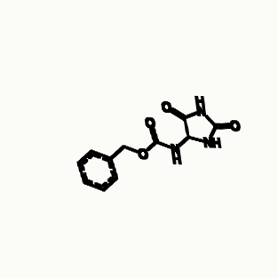 O=C1NC(=O)C(NC(=O)OCc2ccccc2)N1